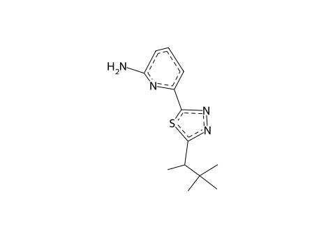 CC(c1nnc(-c2cccc(N)n2)s1)C(C)(C)C